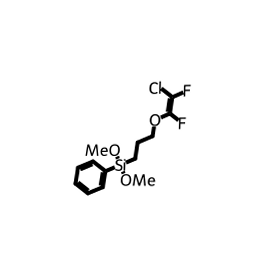 CO[Si](CCCOC(F)=C(F)Cl)(OC)c1ccccc1